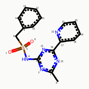 Cc1nc(NS(=O)(=O)Cc2ccccc2)nc(-c2ccccn2)n1